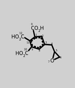 O=C(O)c1cc(CC2CO2)cc(C(=O)O)c1C(=O)O